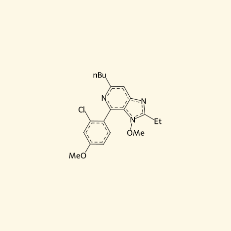 CCCCc1cc2nc(CC)n(OC)c2c(-c2ccc(OC)cc2Cl)n1